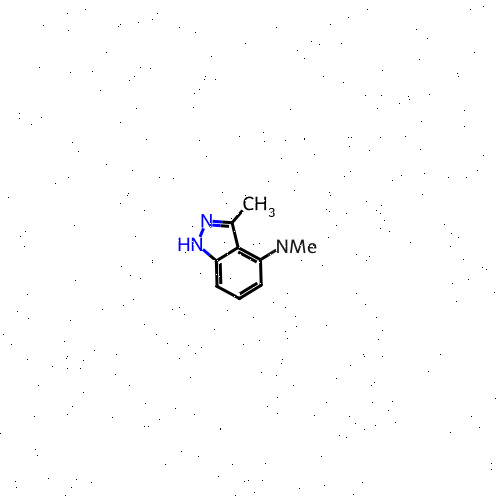 CNc1cccc2[nH]nc(C)c12